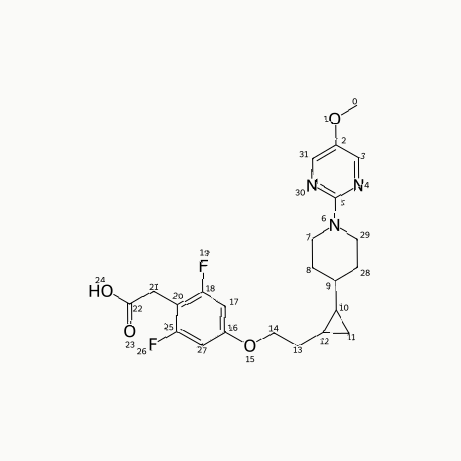 COc1cnc(N2CCC(C3CC3CCOc3cc(F)c(CC(=O)O)c(F)c3)CC2)nc1